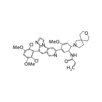 C=CC(=O)NC1C=C(c2cc3c(cn2)cc(-c2c(Cl)c(OC)cc(OC)c2Cl)c2nccn23)C(OC)=CC1N1CCC2(CCOCC2)C1